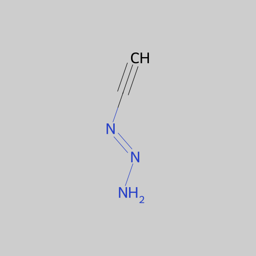 C#CN=NN